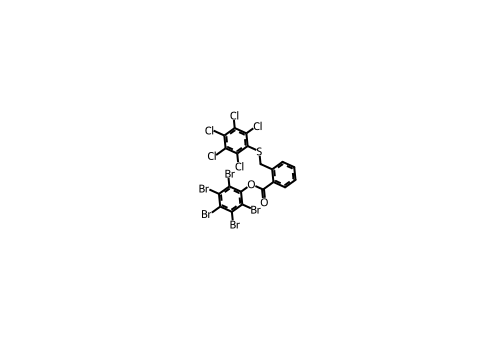 O=C(Oc1c(Br)c(Br)c(Br)c(Br)c1Br)c1ccccc1CSc1c(Cl)c(Cl)c(Cl)c(Cl)c1Cl